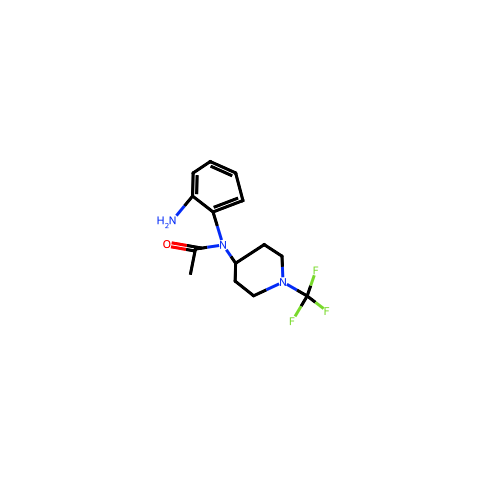 CC(=O)N(c1ccccc1N)C1CCN(C(F)(F)F)CC1